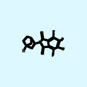 O=C1c2c(F)c(F)c(F)c(F)c2C(=O)N1C1C[C@@H]2CCC1C2